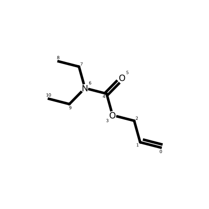 C=CCOC(=O)N(CC)CC